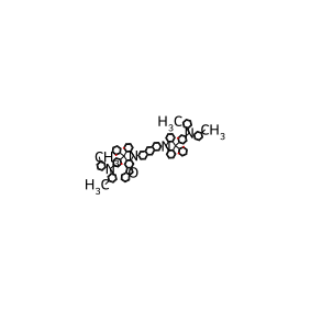 Cc1cccc(N(c2ccc(C3(c4ccccc4)c4ccccc4N(c4ccc5cc6cc(N7c8ccccc8C(c8ccccc8)(c8ccc(N(c9cccc(C)c9)c9cccc(C)c9)cc8)c8cc9c(cc87)oc7ccccc79)ccc6cc5c4)c4ccccc43)cc2)c2cccc(C)c2)c1